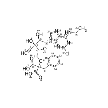 C#C[C@@]1(O)[C@@H](COC(Cc2ccccc2)(C(=O)O)C(=O)O)O[C@@H](n2cnc3c(NCC)nc(Cl)nc32)[C@@H]1O